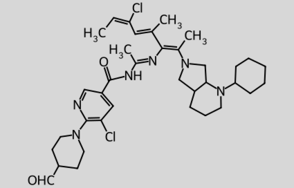 C/C=C(Cl)\C=C(/C)C(/N=C(\C)NC(=O)c1cnc(N2CCC(C=O)CC2)c(Cl)c1)=C(C)N1CC2CCCN(C3CCCCC3)C2C1